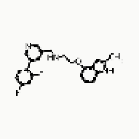 Cc1cc2c(OCCNCc3cncc(-c4ccc(F)cc4F)c3)cccc2[nH]1